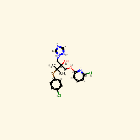 CC(C)(Sc1ccc(Cl)cc1)C(O)(COc1cccc(Cl)n1)Cn1cncn1